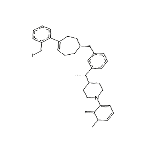 C=C1C(N2CCC([C@H](C)c3cccc(C[C@H]4CCC=C(c5ccccc5CI)CC4)c3)CC2)=CC=CC1C